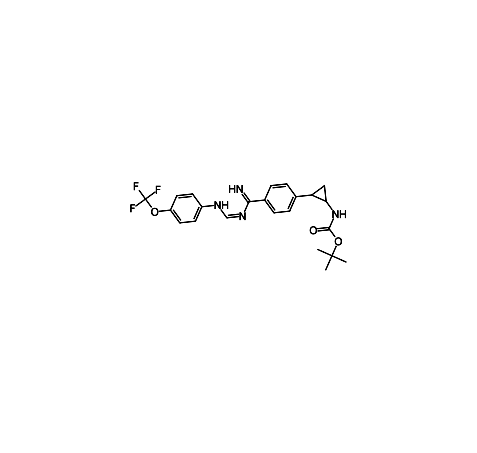 CC(C)(C)OC(=O)NC1CC1c1ccc(C(=N)/N=C\Nc2ccc(OC(F)(F)F)cc2)cc1